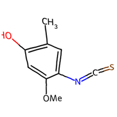 COc1cc(O)c(C)cc1N=C=S